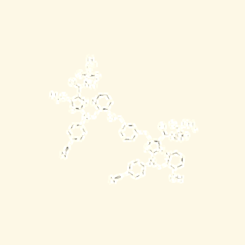 Cc1sc(N(Cc2ncccc2OCc2cccc(Cc3sc(N(Cc4ncccc4O)c4ccc(C#N)cc4)nc3C(=O)NS(C)(=O)=O)c2)c2ccc(C#N)cc2)nc1C(=O)NS(C)(=O)=O